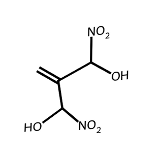 C=C(C(O)[N+](=O)[O-])C(O)[N+](=O)[O-]